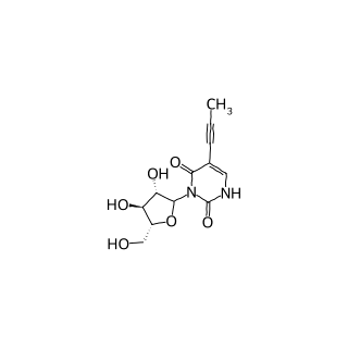 CC#Cc1c[nH]c(=O)n(C2O[C@H](CO)[C@@H](O)[C@@H]2O)c1=O